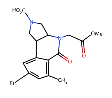 CCc1cc(C)c2c(c1)C1CN(C(=O)O)CC1N(CC(=O)OC)C2=O